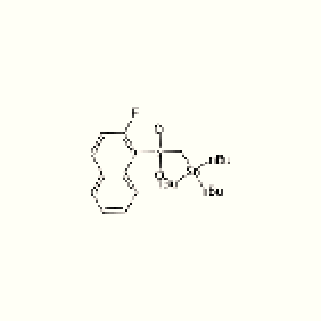 CCC[CH2][Sn]([CH2]CCC)([CH2]CCC)[CH2]S(=O)(=O)c1c(F)ccc2ccccc12